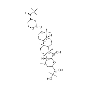 C[C@@H]1CC([C@H](O)C(C)(C)O)OC2[C@H]1[C@@]1(C)CCC34C[C@@]35CC[C@H](O[C@H]3CN(C(=O)C(C)(C)C)CCO3)C(C)(C)[C@@H]5CCC4[C@]1(C)[C@H]2O